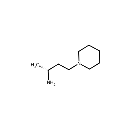 C[C@@H](N)CCN1CCCCC1